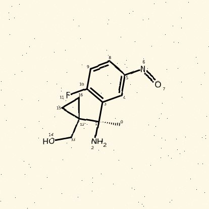 C[C@@](N)(c1cc(N=O)ccc1F)C1(CO)CC1